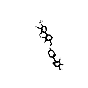 CCCc1ccc(C2=CCC(OCc3ccc(-c4ccc(OCC)c(F)c4F)c(F)c3F)CC2)c(F)c1F